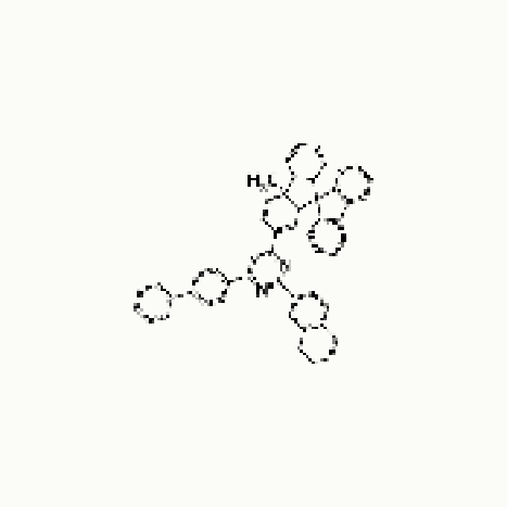 CC12C=CC(c3cc(-c4ccc(-c5ccccc5)cc4)nc(-c4ccc5c(c4)CCC=C5)n3)=CC1C1(c3ccccc3-c3ccccc31)C1C=CC=CC12